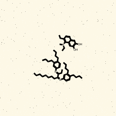 CCCCCCCCC(=Nc1ccc(CCCC)c(CCCC)c1)C(CC)=Nc1ccc(CCCC)c(CCCC)c1.CCc1ccc2cc(O)c(O)cc2c1N(C)CC